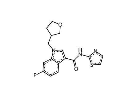 O=C(Nc1nccs1)c1cn(CC2CCOC2)c2cc(F)ccc12